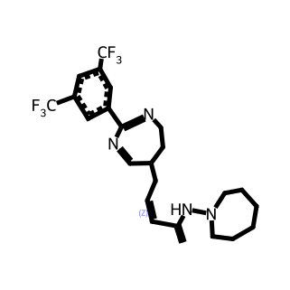 C=C(/C=C\CC1C=NC(c2cc(C(F)(F)F)cc(C(F)(F)F)c2)=NCC1)NN1CCCCCC1